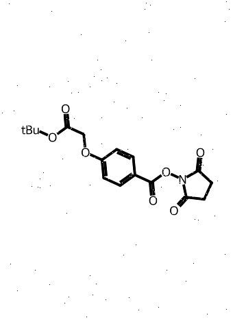 CC(C)(C)OC(=O)COc1ccc(C(=O)ON2C(=O)CCC2=O)cc1